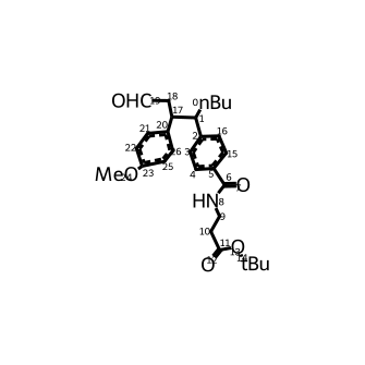 CCCCC(c1ccc(C(=O)NCCC(=O)OC(C)(C)C)cc1)C(CC=O)c1ccc(OC)cc1